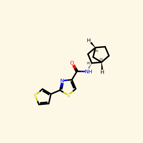 O=C(N[C@@H]1C[C@@H]2CC[C@H]1C2)c1csc(-c2ccsc2)n1